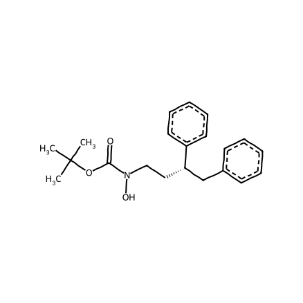 CC(C)(C)OC(=O)N(O)CC[C@@H](Cc1ccccc1)c1ccccc1